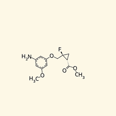 COC(=O)[C@H]1C[C@@]1(F)COc1cc(N)cc(OC)c1